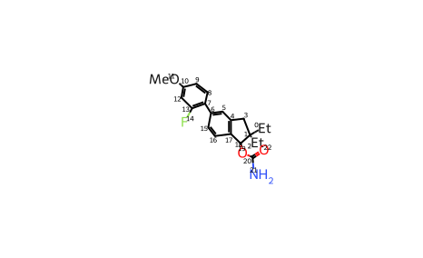 CCC1(CC)Cc2cc(-c3ccc(OC)cc3F)ccc2C1OC(N)=O